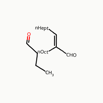 CCCC=O.CCCCCCCC=C(C=O)CCCCCCCC